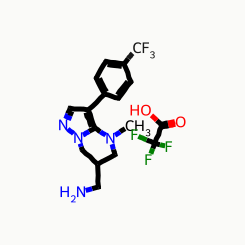 CN1CC(CN)Cn2ncc(-c3ccc(C(F)(F)F)cc3)c21.O=C(O)C(F)(F)F